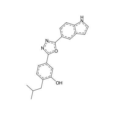 CC(C)Cc1ccc(-c2nnc(-c3ccc4[nH]ccc4c3)o2)cc1O